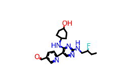 CCC(F)CNc1ncc(-c2ccc(C=O)cn2)c(NC2CCC(O)CC2)n1